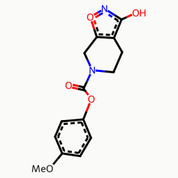 COc1ccc(OC(=O)N2CCc3c(O)noc3C2)cc1